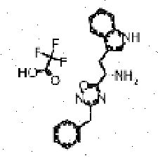 N[C@@H](Cc1c[nH]c2ccccc12)c1nc(Cc2ccccc2)no1.O=C(O)C(F)(F)F